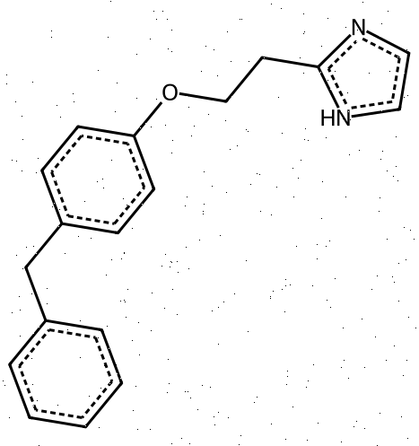 c1ccc(Cc2ccc(OCCc3ncc[nH]3)cc2)cc1